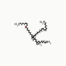 CCCCC/C=C\C/C=C\CCCCCCCCC1(CCCCCCCC/C=C\C/C=C\CCCCC)OCC(CCN(C)CCCCCCN)O1